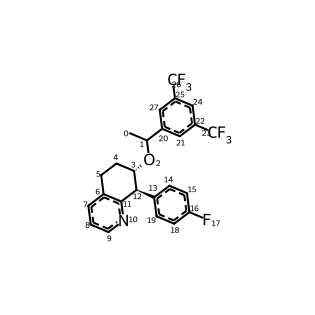 CC(O[C@H]1CCc2cccnc2[C@@H]1c1ccc(F)cc1)c1cc(C(F)(F)F)cc(C(F)(F)F)c1